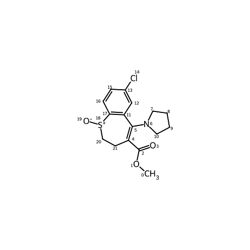 COC(=O)C1=C(N2CCCC2)c2cc(Cl)ccc2[S+]([O-])CC1